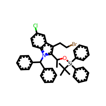 CC(O[Si](c1ccccc1)(c1ccccc1)C(C)(C)C)c1c(CCBr)c2cc(Cl)ccc2n1C(c1ccccc1)c1ccccc1